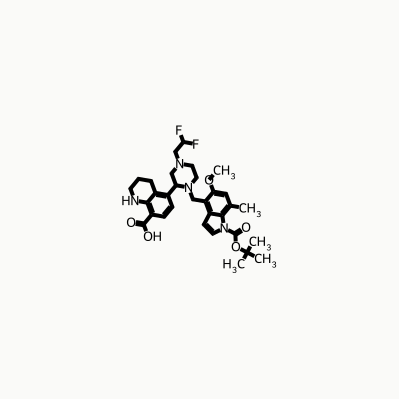 COc1cc(C)c2c(ccn2C(=O)OC(C)(C)C)c1CN1CCN(CC(F)F)CC1c1ccc(C(=O)O)c2c1CCCN2